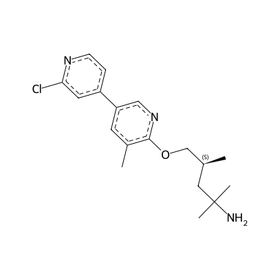 Cc1cc(-c2ccnc(Cl)c2)cnc1OC[C@@H](C)CC(C)(C)N